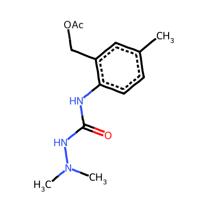 CC(=O)OCc1cc(C)ccc1NC(=O)NN(C)C